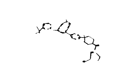 CCN(CCC#N)C(=O)C1CCC(O)(c2ncc(-c3cc(C)cc(Nc4nccc(C(F)(F)F)n4)c3)s2)CC1